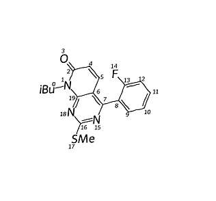 CCC(C)n1c(=O)ccc2c(-c3ccccc3F)nc(SC)nc21